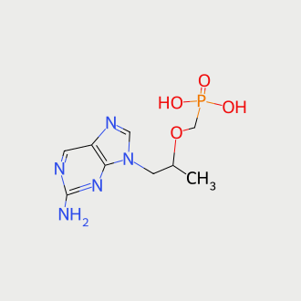 CC(Cn1cnc2cnc(N)nc21)OCP(=O)(O)O